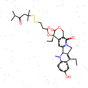 CCC1=C2Cn3c(cc4c(c3=O)COC(=O)[C@@]4(CC)OC(=O)CCSSC(C)(C)CC(=O)C(C)C)C2N(C)c2ccc(O)cc21